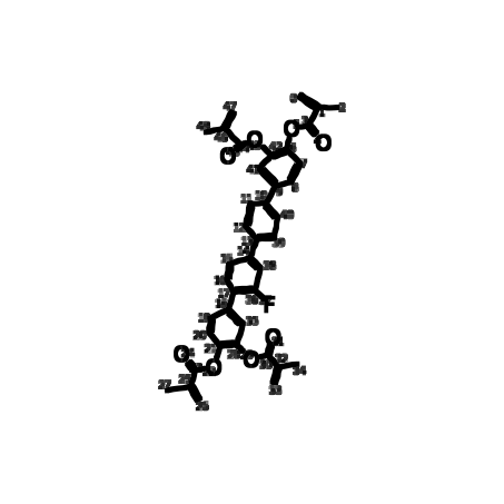 C=C(C)C(=O)Oc1ccc(-c2ccc(-c3ccc(-c4ccc(OC(=O)C(=C)C)c(OC(=O)C(=C)C)c4)c(F)c3)cc2)cc1OC(=O)C(=C)C